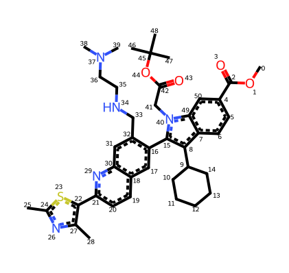 COC(=O)c1ccc2c(C3CCCCC3)c(-c3cc4ccc(-c5sc(C)nc5C)nc4cc3CNCCN(C)C)n(CC(=O)OC(C)(C)C)c2c1